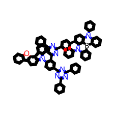 c1ccc(-c2cc(-c3cc(-c4nc(-c5ccccc5)nc(-c5ccccc5)n4)ccc3-n3c4ccccc4c4c5oc6ccccc6c5ccc43)nc(-c3ccc(-c4ccc5c6c4N(c4ccccc4)c4ccccc4B6c4ccccc4N5c4ccccc4)cc3)n2)cc1